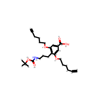 C#CCCCCOc1cc(C(=O)O)cc(OCCCCC#C)c1CCCNC(=O)OC(C)(C)C